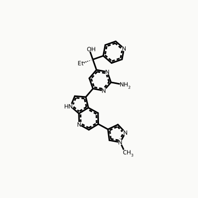 CC[C@](O)(c1ccncc1)c1cc(-c2c[nH]c3ncc(-c4cnn(C)c4)cc23)nc(N)n1